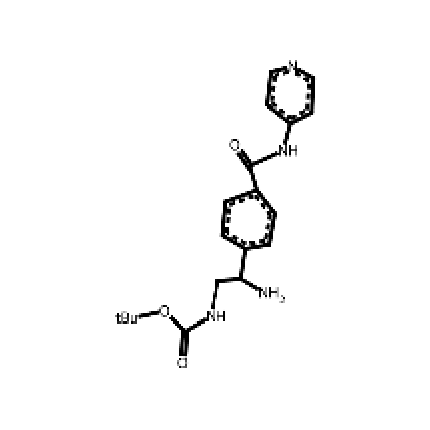 CC(C)(C)OC(=O)NCC(N)c1ccc(C(=O)Nc2ccncc2)cc1